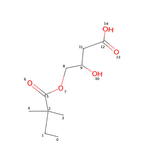 CCC(C)(C)C(=O)OCC(O)CC(=O)O